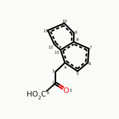 O=C(O)C(=O)Cc1cccc2ccccc12